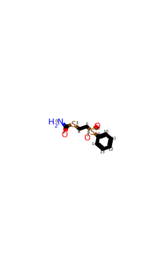 NC(=O)SCCS(=O)(=O)c1ccccc1